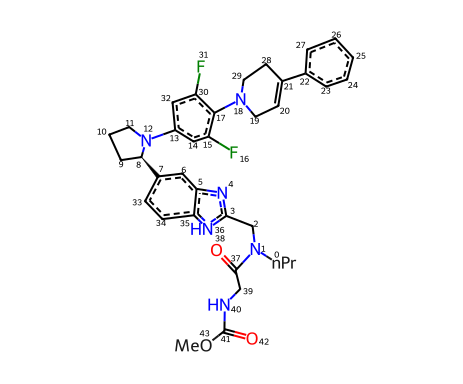 CCCN(Cc1nc2cc([C@H]3CCCN3c3cc(F)c(N4CC=C(c5ccccc5)CC4)c(F)c3)ccc2[nH]1)C(=O)CNC(=O)OC